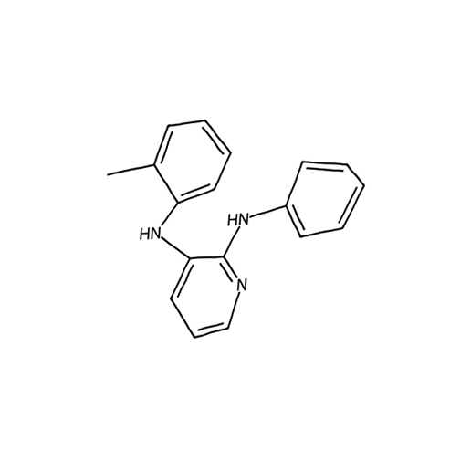 Cc1ccccc1Nc1cccnc1Nc1ccccc1